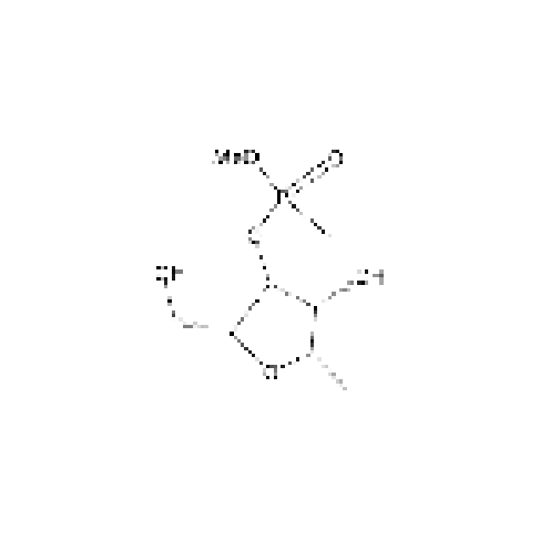 COP(C)(=O)OC1[C@@H](CO)O[C@@H](C)[C@H]1O